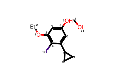 CCOc1cc(O)cc(C2CC2)c1I.CO